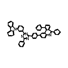 c1ccc(-c2nc(-c3ccc(-c4ccc5nc(-c6ccccc6)c6cccc(-c7ccccc7)c6c5c4)cc3)nc(-c3cccc(-n4c5ccccc5c5ccccc54)c3)n2)cc1